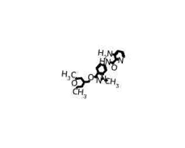 CC1CC(COc2nn(C)c3cc(NC(=O)c4ncccc4N)ccc23)CC(C)O1